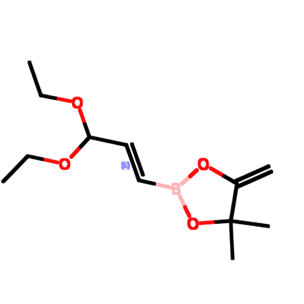 C=C1OB(/C=C/C(OCC)OCC)OC1(C)C